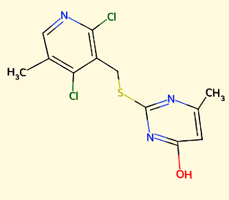 Cc1cc(O)nc(SCc2c(Cl)ncc(C)c2Cl)n1